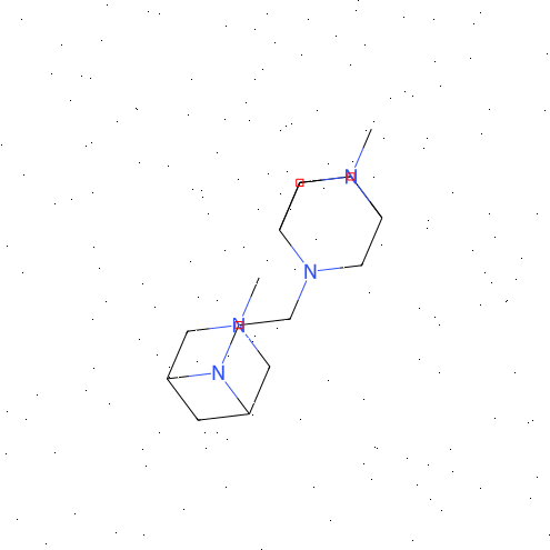 CN1CC2CC(C1)N2CCN1CC2CCC1CN2C